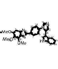 COc1cc2nc(-c3ccc(-n4cncc4-c4c[nH]c5ccccc45)cc3)sc2c(OC)c1OC